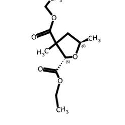 CCOC(=O)[C@H]1O[C@H](C)CC1(C)C(=O)OCC